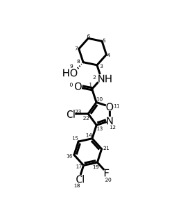 O=C(NC1CCCC[C@H]1O)c1onc(-c2ccc(Cl)c(F)c2)c1Cl